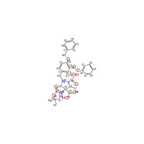 CCC1[C@](CC)(C(=O)O)N(Cc2ccc(OCc3ccccc3)c(OCc3ccccc3)c2)C[C@@]1(NC(=O)OC(C)(C)C)C(=O)O